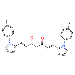 Cc1ccc(-n2cccc2/C=C/C(=O)CC(=O)/C=C/c2cccn2-c2ccc(C)cc2)cc1